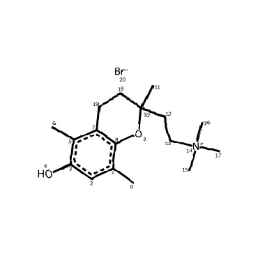 Cc1cc(O)c(C)c2c1OC(C)(CC[N+](C)(C)C)CC2.[Br-]